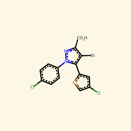 CCc1c(C(=O)O)nn(-c2ccc(Cl)cc2)c1-c1cc(Cl)cs1